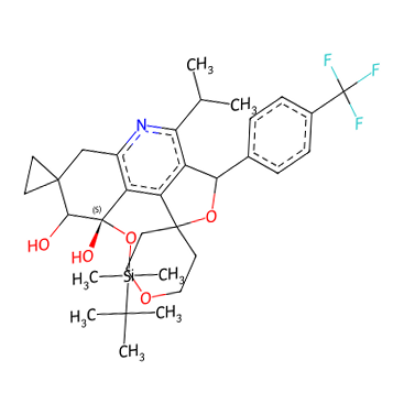 CC(C)c1nc2c(c3c1C(c1ccc(C(F)(F)F)cc1)OC31CCOCC1)[C@](O)(O[Si](C)(C)C(C)(C)C)C(O)C1(CC1)C2